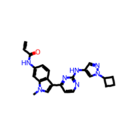 C=CC(=O)Nc1ccc2c(-c3ccnc(Nc4cnn(C5CCC5)c4)n3)cn(C)c2c1